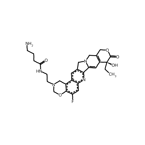 CC[C@@]1(O)C(=O)OCC2=C1C=C1c3nc4cc(F)c5c(c4cc3CN1C2)CN(CCNC(=O)CCCN)CO5